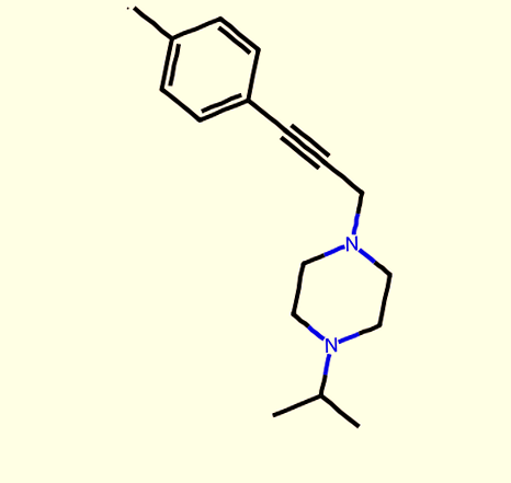 [CH2]c1ccc(C#CCN2CCN(C(C)C)CC2)cc1